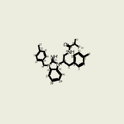 Cc1ccc(CC(CNC(=O)C(C)F)n2c(=N)n(Cc3ccc(C)cc3)c3ccccc32)cc1